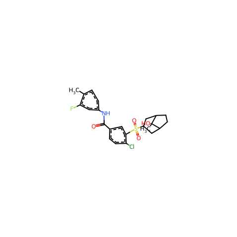 Cc1ccc(NC(=O)c2ccc(Cl)c(S(=O)(=O)C3CC4CCC(C3)C4(C)O)c2)cc1F